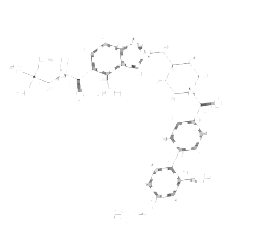 COc1ccc(-c2ccc(C(=O)N3CCC(Cn4cc5c(C)c(C(=O)NCC(F)(F)F)ccc5n4)CC3)cc2)c(C)c1